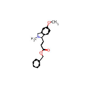 COc1ccc2c(c1)CN(C)C2CCC(=O)OCc1ccccc1